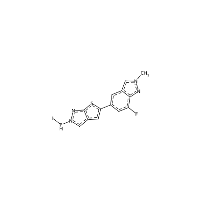 Cn1cc2cc(-c3cc4cn(PI)nc4s3)cc(F)c2n1